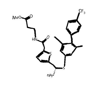 CCC[C@@H](Sc1cc(C)c(-c2ccc(C(F)(F)F)cc2)c(C)c1)c1ccc(C(=O)NCCC(=O)OC)s1